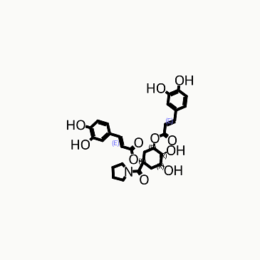 O=C(/C=C/c1ccc(O)c(O)c1)O[C@@H]1C[C@](OC(=O)/C=C/c2ccc(O)c(O)c2)(C(=O)N2CCCC2)C[C@@H](O)[C@H]1O